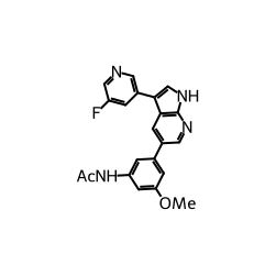 COc1cc(NC(C)=O)cc(-c2cnc3[nH]cc(-c4cncc(F)c4)c3c2)c1